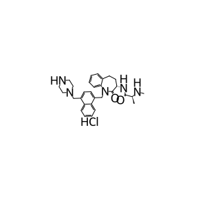 CN[C@@H](C)C(=O)N[C@H]1CCc2ccccc2N(Cc2ccc(CN3CCNCC3)c3ccccc23)C1=O.Cl